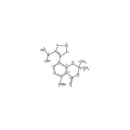 COc1ccc(C2=C(B(O)O)COC2)c2c1C(=O)OC(C)(C)O2